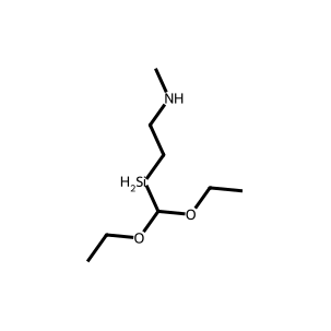 CCOC(OCC)[SiH2]CCNC